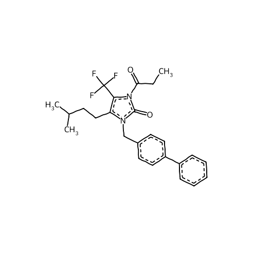 CCC(=O)n1c(C(F)(F)F)c(CCC(C)C)n(Cc2ccc(-c3ccccc3)cc2)c1=O